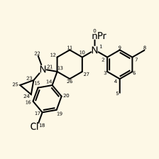 CCCN(c1cc(C)cc(C)c1)C1CCC(c2ccc(Cl)cc2)(N(C)C2CC2)CC1